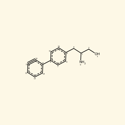 NC(CO)Cc1ccc(-c2c#cccc2)cc1